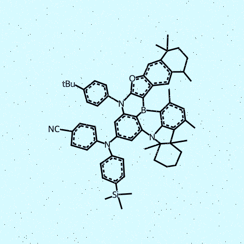 Cc1cc(C)c2c3c1B1c4c(cc(N(c5ccc(C#N)cc5)c5ccc([Si](C)(C)C)cc5)cc4N3C3(C)CCCCC23C)N(c2ccc(C(C)(C)C)cc2)c2oc3cc4c(cc3c21)C(C)CCC4(C)C